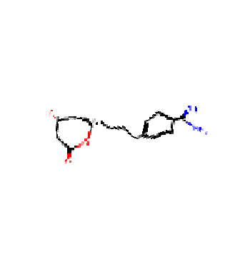 N=C(N)c1ccc(CCCC[C@H]2C[C@@H](O)CC(=O)O2)cc1